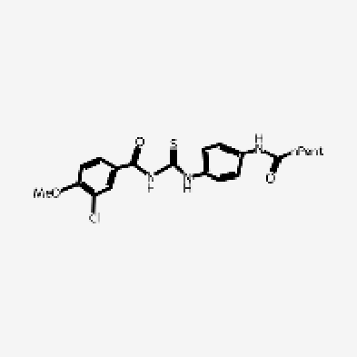 CCCCCC(=O)Nc1ccc(NC(=S)NC(=O)c2ccc(OC)c(Cl)c2)cc1